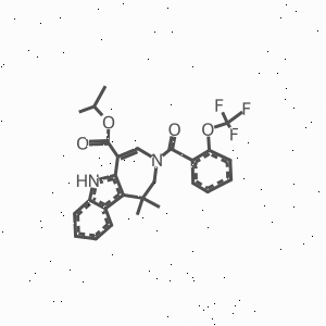 CC(C)OC(=O)C1=CN(C(=O)c2ccccc2OC(F)(F)F)CC(C)(C)c2c1[nH]c1ccccc21